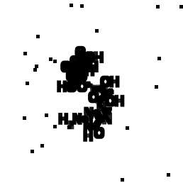 CC1(O)[C@@H](O)[C@@H](COP(=O)(O)OP(=O)(O)OP(=O)(O)O)O[C@H]1n1cnc2c(=O)[nH]c(N)nc21